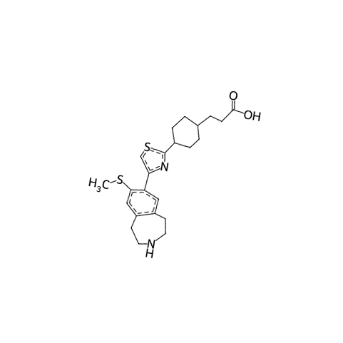 CSc1cc2c(cc1-c1csc(C3CCC(CCC(=O)O)CC3)n1)CCNCC2